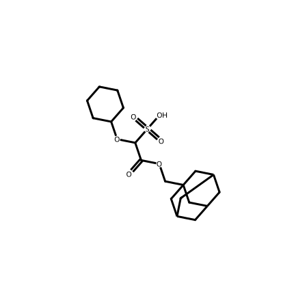 O=C(OCC12CC3CC(CC(C3)C1)C2)C(OC1CCCCC1)S(=O)(=O)O